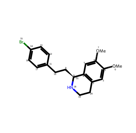 COc1cc2c(cc1OC)[C@H](CCc1ccc(Br)cc1)NCC2